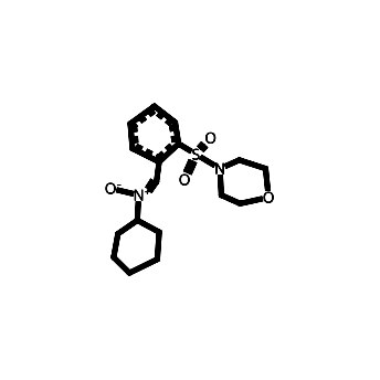 O=S(=O)(c1ccccc1/C=[N+](\[O-])C1CCCCC1)N1CCOCC1